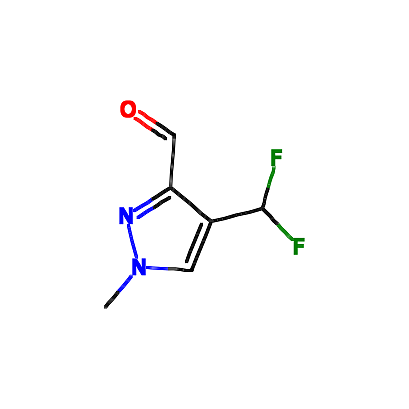 Cn1cc(C(F)F)c(C=O)n1